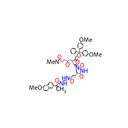 CNC(=O)CCC(=O)CC1C[C@H](n2cc(/C=C/C(=O)NCCNC(=O)[C@@H](C)c3ccc4cc(OC)ccc4c3)c(=O)[nH]c2=O)O[C@@H]1COC(c1ccccc1)(c1ccc(OC)cc1)c1ccc(OC)cc1